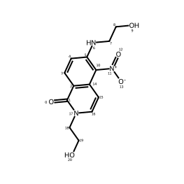 O=c1c2ccc(NCCO)c([N+](=O)[O-])c2ccn1CCO